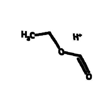 CCOC=O.[H+]